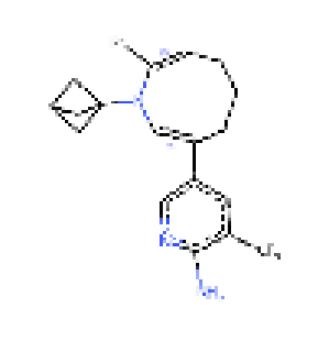 CC(C)/C1=C/CCC/C(c2cnc(N)c(C(F)(F)F)c2)=C\N1C12CC(C1)C2